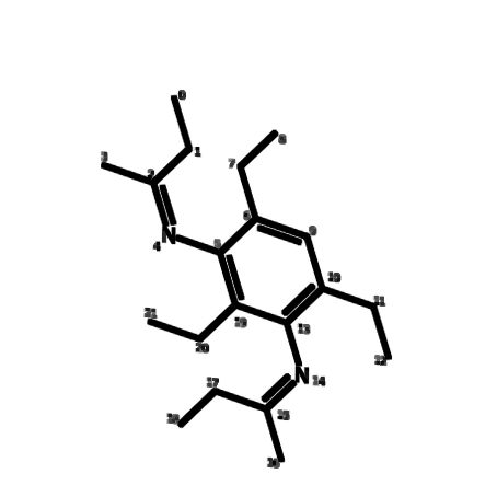 CCC(C)=Nc1c(CC)cc(CC)c(N=C(C)CC)c1CC